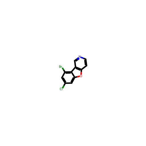 Clc1cc(Br)c2c(c1)oc1ccncc12